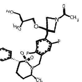 CC(=O)N1CC(OCC(O)CO)(c2cc(F)c(CN3[C@@H](C)CC[C@H](c4ccccc4)S3(=O)=O)cc2F)C1